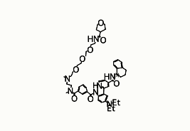 CCN(CC)c1ccc(NC(=O)c2cccc(C(=O)N(C)CCN(C)CCOCCOCCOCCNC(=O)C3CCOCC3)c2)c(-c2cc(C(=O)N[C@H]3CCCc4ccccc43)ccn2)c1